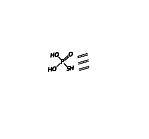 C=C.C=C.C=C.O=P(O)(O)S